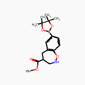 CC(C)(C)OC(=O)C1CNOc2ccc(B3OC(C)(C)C(C)(C)O3)cc2C1